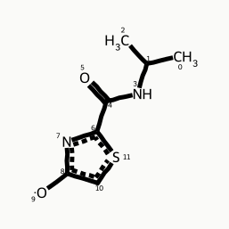 CC(C)NC(=O)c1nc([O])cs1